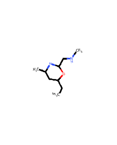 CCC1CC(C)[N]C(CNC)O1